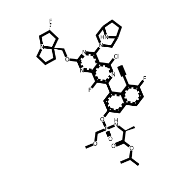 C#Cc1c(F)ccc2cc(OP(=O)(COC)N[C@@H](C)C(=O)OC(C)C)cc(-c3nc(Cl)c4c(N5CC6CCC(C5)N6)nc(OC[C@@]56CCCN5C[C@H](F)C6)nc4c3F)c12